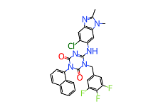 Cc1nc2cc(Cl)c(Nc3nc(=O)n(-c4cccc5ccccc45)c(=O)n3Cc3cc(F)c(F)c(F)c3)cc2n1C